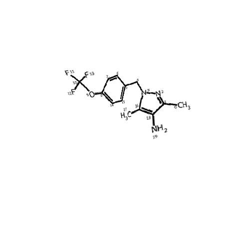 Cc1nn(Cc2ccc(OC(F)(F)F)cc2)c(C)c1N